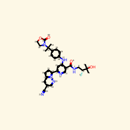 CC(C)(O)[C@H](F)CNC(=O)c1cnc(-c2ccc3cc(C#N)cnn23)cc1Nc1ccc(C(C)(C)N2CCOC2=O)cc1